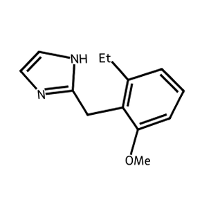 CCc1cccc(OC)c1Cc1ncc[nH]1